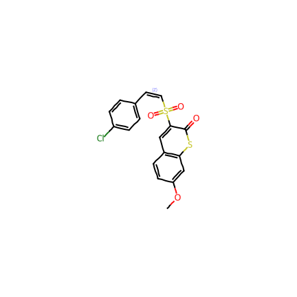 COc1ccc2cc(S(=O)(=O)/C=C\c3ccc(Cl)cc3)c(=O)sc2c1